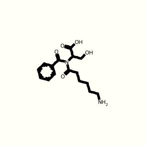 NCCCCCC(=O)N(C(=O)c1ccccc1)C(CO)C(=O)O